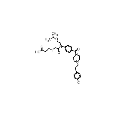 CC(C)OCCN(C(=O)CSCCC(=O)O)c1ccc(C(=O)N2CCN(CCc3ccc(Cl)cc3)CC2)cc1